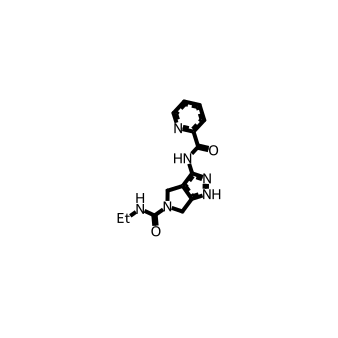 CCNC(=O)N1Cc2[nH]nc(NC(=O)c3ccccn3)c2C1